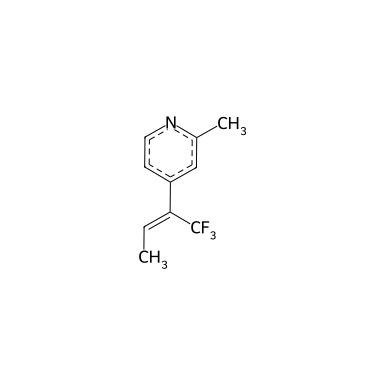 C/C=C(/c1ccnc(C)c1)C(F)(F)F